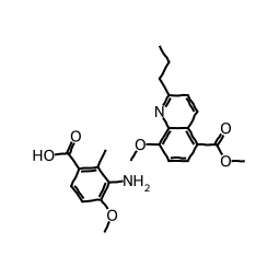 CCCc1ccc2c(C(=O)OC)ccc(OC)c2n1.COc1ccc(C(=O)O)c(C)c1N